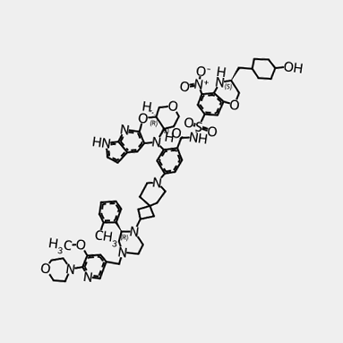 COc1cc(CN2CCN(C3CC4(CCN(c5ccc(C(=O)NS(=O)(=O)c6cc7c(c([N+](=O)[O-])c6)N[C@@H](CC6CCC(O)CC6)CO7)c(N6c7cc8cc[nH]c8nc7O[C@H]7COCC[C@@H]76)c5)CC4)C3)[C@H](c3ccccc3C)C2)cnc1N1CCOCC1